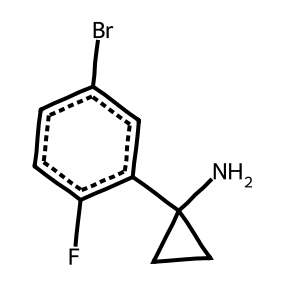 NC1(c2cc(Br)ccc2F)CC1